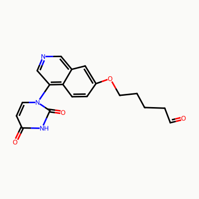 O=CCCCCOc1ccc2c(-n3ccc(=O)[nH]c3=O)cncc2c1